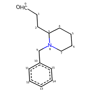 O=CCCC1CCCCN1Cc1ccccc1